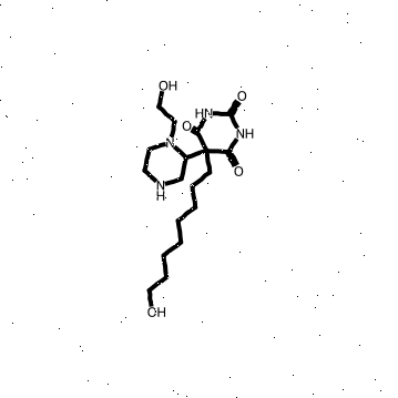 O=C1NC(=O)C(CCCCCCCCO)(C2CNCCN2CCO)C(=O)N1